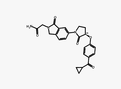 NC(=O)CN1Cc2ccc(N3CC[C@@H](Oc4ccc(C(=O)C5CC5)cc4)C3=O)cc2C1=O